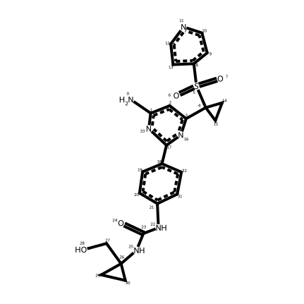 Nc1cc(C2(S(=O)(=O)c3ccncc3)CC2)nc(-c2ccc(NC(=O)NC3(CO)CC3)cc2)n1